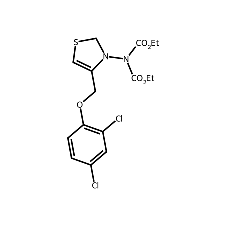 CCOC(=O)N(C(=O)OCC)N1CSC=C1COc1ccc(Cl)cc1Cl